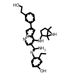 CCc1cc(O)ccc1/N=C(\N)c1cnn2cc(-c3cccc(CCO)c3)cc2c1NC1CCC2(C)NC12C